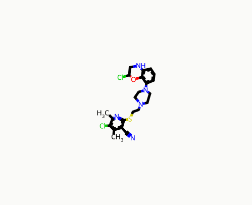 Cc1nc(SCCN2CCN(c3cccc4c3OC(Cl)CN4)CC2)c(C#N)c(C)c1Cl